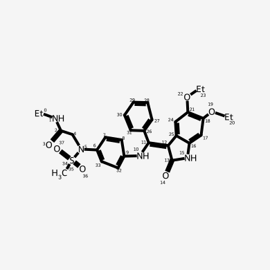 CCNC(=O)CN(c1ccc(N/C(=C2\C(=O)Nc3cc(OCC)c(OCC)cc32)c2ccccc2)cc1)S(C)(=O)=O